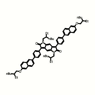 CCCCC(CC)COc1ccc2cc(-c3ccc(C4=c5cc6c(cc5N(CC(CC)CCCC)C4=O)=C(c4ccc(-c5ccc7cc(OCC(CC)CCCC)ccc7c5)cc4)C(=O)N6CC(CC)CCCC)cc3)ccc2c1